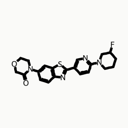 O=C1COCCN1c1ccc2nc(-c3ccc(N4CCCC(F)C4)nc3)sc2c1